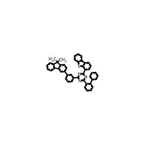 CC1(C)c2ccccc2-c2cc(-c3cccc(-c4nc(-c5ccccc5-c5ccccc5)nc(-c5cccc6c5sc5ccccc56)n4)c3)ccc21